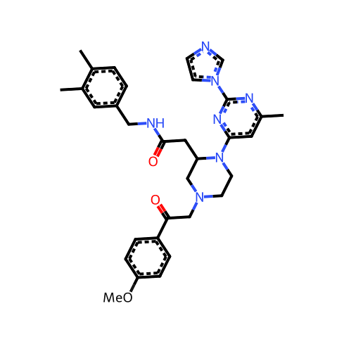 COc1ccc(C(=O)CN2CCN(c3cc(C)nc(-n4ccnc4)n3)C(CC(=O)NCc3ccc(C)c(C)c3)C2)cc1